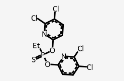 CCP(=S)(Oc1ccc(Cl)c(Cl)n1)Oc1ccc(Cl)c(Cl)n1